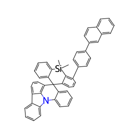 C[Si]1(C)c2ccccc2C2(c3ccccc3-n3c4ccccc4c4cccc2c43)c2cccc(-c3ccc(-c4ccc5ccccc5c4)cc3)c21